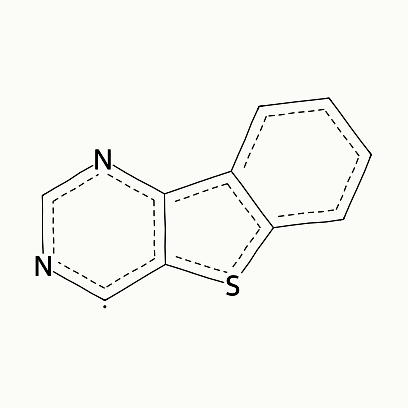 [c]1ncnc2c1sc1ccccc12